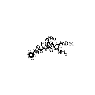 CCCCCCCCCCCCC[C@@H](CC(N)=O)OC(=O)[C@H](CCCC(=O)OCc1ccccc1)NC(=O)OC(C)(C)C